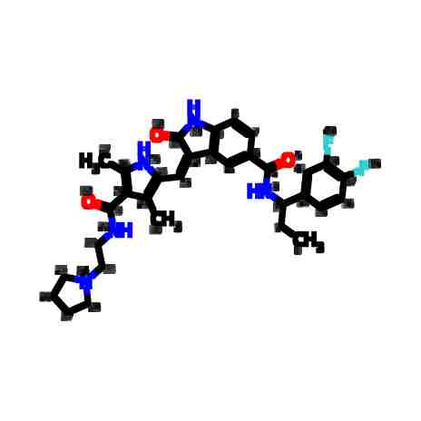 CCC(NC(=O)c1ccc2c(c1)/C(=C/c1[nH]c(C)c(C(=O)NCCN3CCCC3)c1C)C(=O)N2)c1ccc(F)c(F)c1